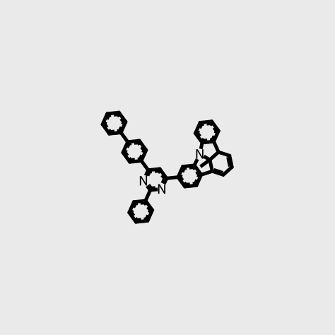 CC12C3=CC=CC1c1ccccc1N2c1cc(-c2cc(-c4ccc(-c5ccccc5)cc4)nc(-c4ccccc4)n2)ccc13